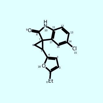 CCc1ccc(C2CC23C(=O)Nc2ccc(Cl)cc23)o1